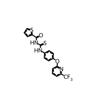 O=C(NC(=S)Nc1ccc(Oc2cccc(C(F)(F)F)n2)cc1)c1cccs1